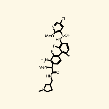 CNC(C(=O)NCC1CCN(C)C1)c1ccc(-c2c(F)ccc(NN(O)c3cc(Cl)cnc3OC)c2F)c(F)c1N